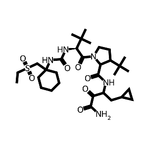 CCS(=O)(=O)CC1(NC(=O)N[C@H](C(=O)N2CCC(C(C)(C)C)C2C(=O)NC(CC2CC2)C(=O)C(N)=O)C(C)(C)C)CCCCC1